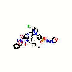 CCCCN1C(=O)[C@@H](CC2(O)CCCCC2)NC(=O)C12CCN(Cc1c(C)nn(-c3ccc(S(=O)(=O)NCCN4CCOCC4)cc3)c1C)CC2.Cl